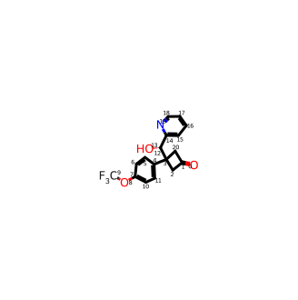 O=C1CC(c2ccc(OC(F)(F)F)cc2)([C@H](O)c2ccccn2)C1